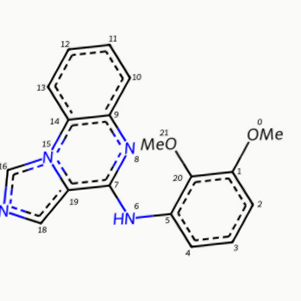 COc1cccc(Nc2nc3ccccc3n3cncc23)c1OC